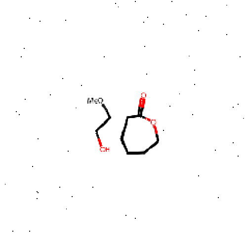 COCCO.O=C1CCCCCO1